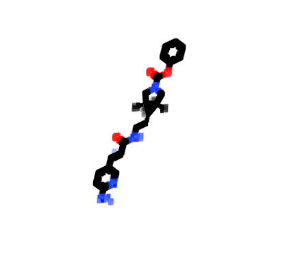 Nc1ccc(/C=C/C(=O)NCC[C@@H]2[C@H]3CN(C(=O)Oc4ccccc4)C[C@@H]23)cn1